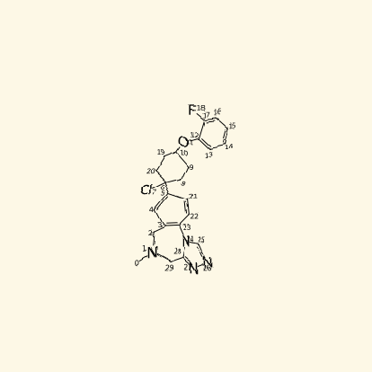 CN1Cc2cc(C3(Cl)CCC(Oc4ccccc4F)CC3)ccc2-n2cnnc2C1